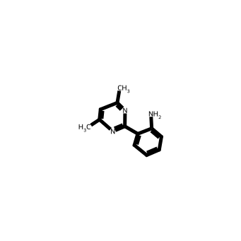 Cc1cc(C)nc(-c2ccccc2N)n1